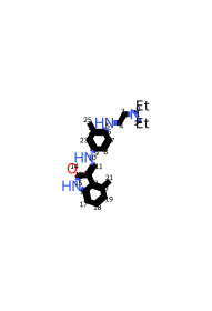 CCN(CC)CCNc1ccc(NC=C2C(=O)Nc3cccc(C)c32)cc1C